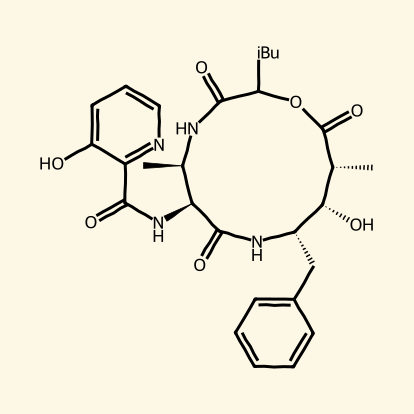 CCC(C)C1OC(=O)[C@H](C)[C@H](O)[C@H](Cc2ccccc2)NC(=O)[C@@H](NC(=O)c2ncccc2O)[C@@H](C)NC1=O